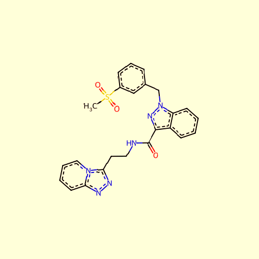 CS(=O)(=O)c1cccc(Cn2nc(C(=O)NCCc3nnc4ccccn34)c3ccccc32)c1